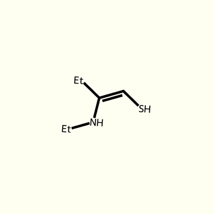 CCN/C(=C\S)CC